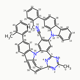 Cc1nc2nc(n1)c1cc(-n3c4ccccc4c4ccc(-c5ccccc5C)cc43)c(C#N)cc1n1c3cc(-c4ccccc4C)ccc3c3ccc2cc31